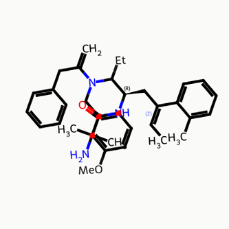 C=C(Cc1ccccc1)N(Cc1cccc(OC)c1)C(CC)[C@@H](C/C(=C/C)c1ccccc1C)NC(=O)C(C)(C)N